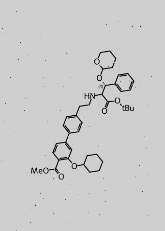 COC(=O)c1ccc(-c2ccc(CCNC(C(=O)OC(C)(C)C)[C@H](OC3CCCCO3)c3ccccc3)cc2)cc1OC1CCCCC1